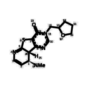 CN[C@@H]1C=CN=C2Sc3c(ncn(CC4CCCO4)c3=O)[C@@H]21